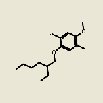 [CH2]c1cc(OCC(CC)CCCC)c([CH2])cc1OC